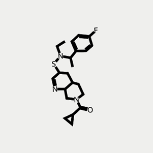 CCN(SC1C=NC2CN(C(=O)C3CC3)CCC2C1)C(C)c1ccc(F)cc1